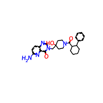 Nc1ccc2ncn(CC3(O)CCN(C(=O)C4CCCCC4c4ccccc4)CC3)c(=O)c2n1